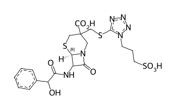 O=C(NC1C(=O)N2CC(CSc3nnnn3CCCS(=O)(=O)O)(C(=O)O)CS[C@H]12)C(O)c1ccccc1